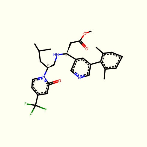 COC(=O)C[C@H](NC[C@H](CC(C)C)n1ccc(C(F)(F)F)cc1=O)c1cncc(-c2c(C)cccc2C)c1